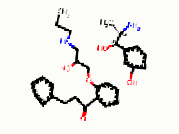 CCCNCC(O)COc1ccccc1C(=O)CCc1ccccc1.C[C@H](N)[C@H](O)c1cccc(O)c1